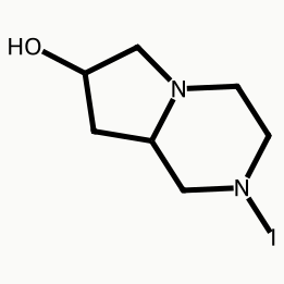 OC1CC2CN(I)CCN2C1